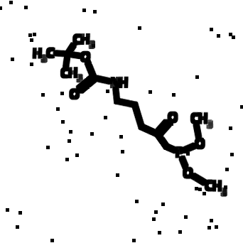 COP(CC(=O)CCCNC(=O)OC(C)(C)C)OC